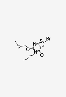 CCCCn1c(OCC2CC2C)nc2sc(Br)cc2c1=O